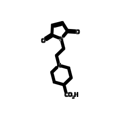 O=C(O)C1CCN(CCN2C(=O)C=CC2=O)CC1